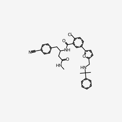 CNC(=O)CC(Cc1ccc(C#N)cc1)NC(=O)c1cc(-c2ccc(CNC(C)(C)c3ccccc3)o2)ccc1Cl